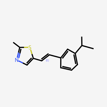 Cc1ncc(/C=C/c2cccc(C(C)C)c2)s1